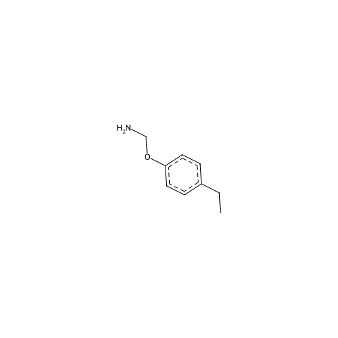 CCc1ccc(OCN)cc1